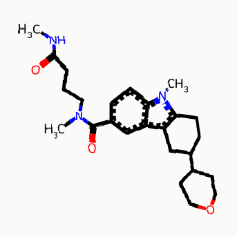 CNC(=O)CCCN(C)C(=O)c1ccc2c(c1)c1c(n2C)CCC(C2CCOCC2)C1